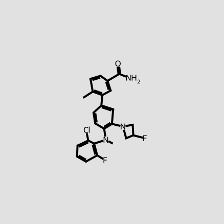 Cc1ccc(C(N)=O)cc1-c1ccc(N(C)c2c(F)cccc2Cl)c(N2CC(F)C2)c1